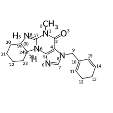 CN1C(=O)c2c(ncn2CC2=CCCC=C2)N2C1=N[C@@H]1CCCC[C@@H]12